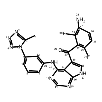 Cc1nnnn1-c1cccc(Nc2ncnc3[nH]cc(C(=O)c4c(F)ccc(N)c4F)c23)c1